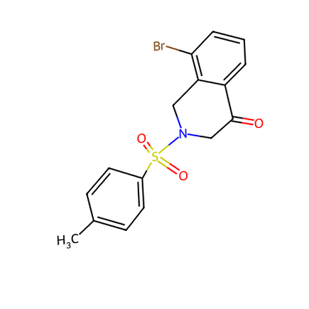 Cc1ccc(S(=O)(=O)N2CC(=O)c3cccc(Br)c3C2)cc1